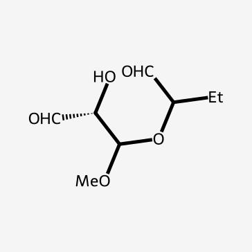 CCC(C=O)OC(OC)[C@@H](O)C=O